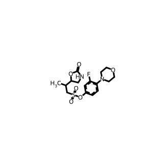 CC(CS(=O)(=O)Oc1ccc(N2CCOCC2)c(F)c1)C1CNC(=O)O1